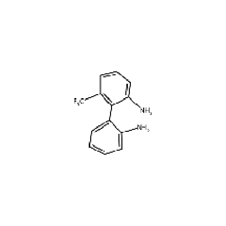 Nc1ccccc1-c1c(N)cccc1C(F)(F)F